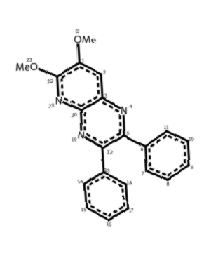 COc1cc2nc(-c3ccccc3)c(-c3ccccc3)nc2nc1OC